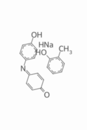 Cc1ccccc1O.O=C1C=CC(=Nc2ccc(O)cc2)C=C1.[NaH]